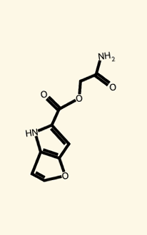 NC(=O)COC(=O)c1cc2occc2[nH]1